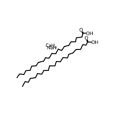 CCCCCCCCCCCCCCCCCCCCCC(=O)O.CCCCCCCCCCCCCCCCCCCCCC(=O)O.[CaH2].[NaH]